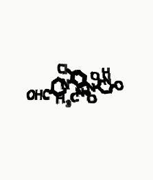 Cn1c(=O)n(C2CCC(=O)NC2=O)c2ccc(Cl)c(N3CCC(C=O)CC3)c21